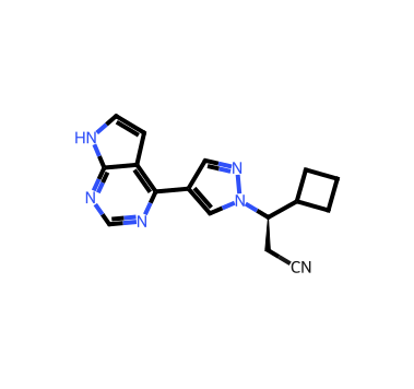 N#CC[C@H](C1CCC1)n1cc(-c2ncnc3[nH]ccc23)cn1